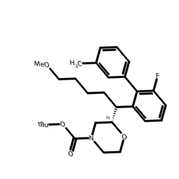 COCCCCC(c1cccc(F)c1-c1cccc(C)c1)[C@H]1CN(C(=O)OC(C)(C)C)CCO1